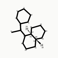 CC(C1CCCCC1)C1CCC[C@H]2CCCC[C@H]12